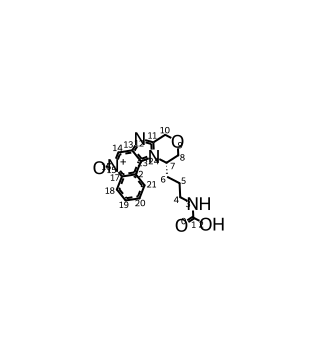 O=C(O)NCCC[C@H]1COCc2nc3c[n+]([O-])c4ccccc4c3n21